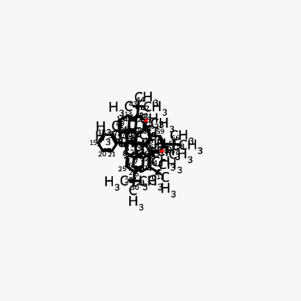 CC(C)(C)c1ccc(CC(c2cc[c]cc2)(c2cc[c]cc2)C(c2ccc(C(C)(C)C)cc2C(C)(C)C)(c2ccc(C(C)(C)C)cc2C(C)(C)C)c2ccc(C(C)(C)C)cc2C(C)(C)C)c(C(C)(C)C)c1